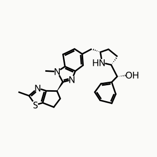 Cc1nc2c(s1)CC[C@@H]2c1nc2cc(C[C@@H]3CC[C@H]([C@H](O)c4ccccc4)N3)ccc2n1C